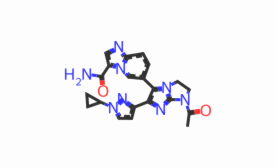 CC(=O)N1CCn2c1nc(-c1ccn(C3CC3)n1)c2-c1ccc2ncc(C(N)=O)n2c1